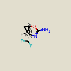 NC1=N[C@H](C(F)F)[C@@H]2C[C@@H]2O1